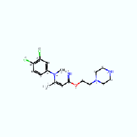 C/C(=C/C(=N)OCCN1CCNCC1)N(C)c1ccc(Cl)c(Cl)c1